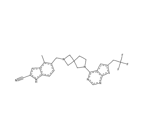 Cc1c(CN2CC3(CCN(c4ncnc5sc(CC(F)(F)F)cc45)C3)C2)ccc2[nH]c(C#N)cc12